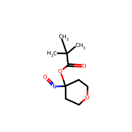 CC(C)(C)C(=O)OC1(N=O)CCOCC1